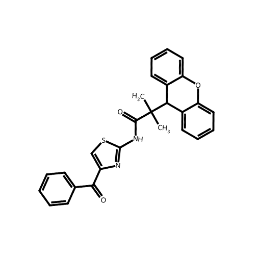 CC(C)(C(=O)Nc1nc(C(=O)c2ccccc2)cs1)C1c2ccccc2Oc2ccccc21